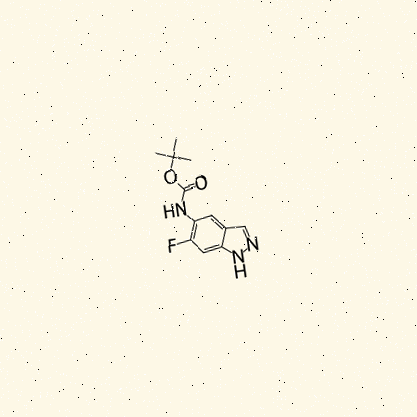 CC(C)(C)OC(=O)Nc1cc2cn[nH]c2cc1F